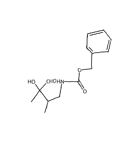 CC(CNC(=O)OCc1ccccc1)C(C)(O)C=O